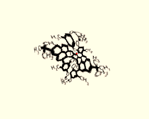 COC1=CC(C)C(c2cc3cc(C(C)(C)C)cc4cc(-c5c(C)cc(OC)cc5C)c5c6cc7cc8c([C@H]9C(C)=CC(OC)=CC9C)cc9cc(C(C)(C)C)cc%10cc(-c%11c(C)cc(OC)cc%11C)c(c7cc6cc2c5c34)c8c9%10)C(C)=C1